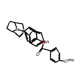 COc1ccc(C(=O)Nc2ccc(N3C4CCC3CN(c3ccccn3)C4)cc2)cc1